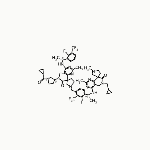 Cc1nc(N[C@H](C)c2ccc(CN3CCC4(C3)C(=O)N([C@H]3CCN(C(=O)C5CC5)C3)Cc3c(N[C@H](C)c5cccc(C(F)(F)F)c5F)nc(C)nc34)c(C(F)(F)F)c2F)c2c(n1)C1(CCN(C)C1)C(=O)N(CC1CC1)C2